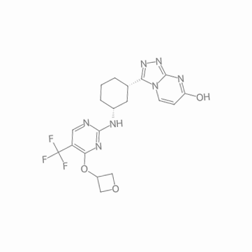 Oc1ccn2c([C@H]3CCC[C@@H](Nc4ncc(C(F)(F)F)c(OC5COC5)n4)C3)nnc2n1